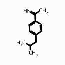 CC(=N)c1ccc(CC(C)C)cc1